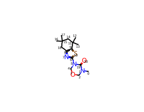 CN1COCN(c2nc3c(s2)C(C)(C)CC(C)(C)C3)C1=O